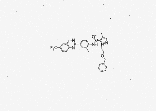 Cc1cc(-c2ncc3cc(C(F)(F)F)ccc3n2)ccc1N[S+]([O-])c1c(C)cnn1CCOCc1ccccc1